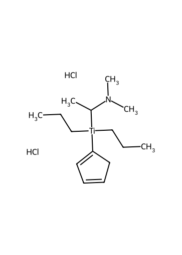 CC[CH2][Ti]([CH2]CC)([C]1=CC=CC1)[CH](C)N(C)C.Cl.Cl